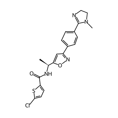 C[C@H](NC(=O)c1ccc(Cl)s1)c1cc(-c2ccc(C3=NCCN3C)cc2)no1